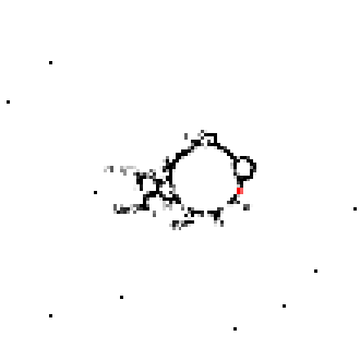 CCCCCCCC(=O)O[C@H]1/C(=C/C(=O)OC)C[C@H]2CC(CO)OC(=O)C[C@H](O)C[C@@H]3CCC[C@H](CC4CO[C@H](/C=C/C(C)(C)[C@]1(O)O2)O4)O3